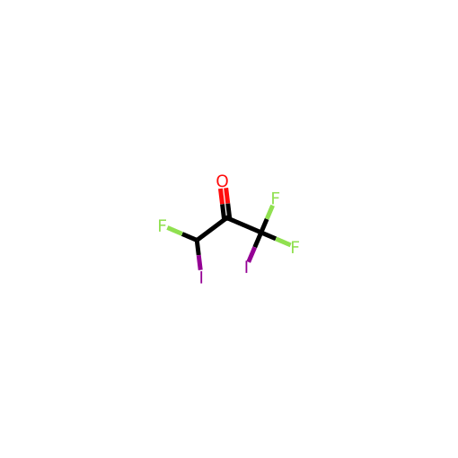 O=C(C(F)I)C(F)(F)I